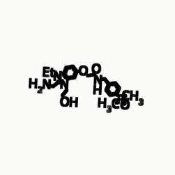 CC[n+]1c(CN)n(CCO)c2cc(OCC(=O)NCc3ccc(P(C)(C)=O)cc3)ccc21